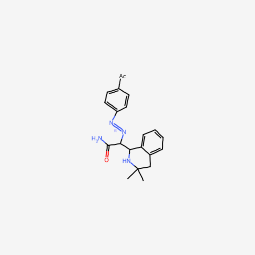 CC(=O)c1ccc(/N=N/C(C(N)=O)C2NC(C)(C)Cc3ccccc32)cc1